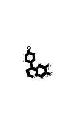 O=C1CCC(c2ccnc3cc(F)c(F)cc23)CC1